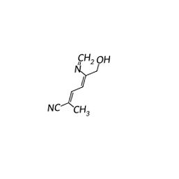 C=N/C(=C\C=C(/C)C#N)CO